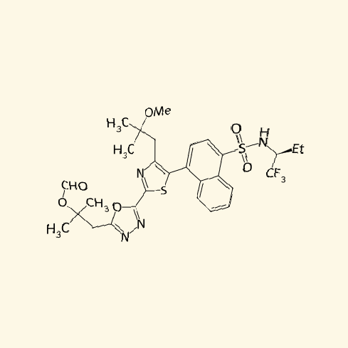 CC[C@H](NS(=O)(=O)c1ccc(-c2sc(-c3nnc(CC(C)(C)OC=O)o3)nc2CC(C)(C)OC)c2ccccc12)C(F)(F)F